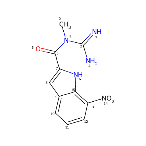 CN(C(=N)N)C(=O)c1cc2cccc([N+](=O)[O-])c2[nH]1